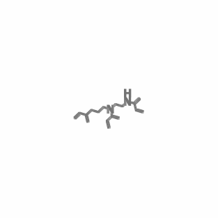 C=CC(=C)CCCN(CCNC(=C)C=C)C(=C)C=C